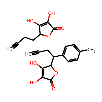 C#CCC(c1ccc(C)cc1)C1OC(=O)C(O)=C1O.C#CCCC1OC(=O)C(O)=C1O